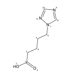 O=C(O)CCCCn1cncn1